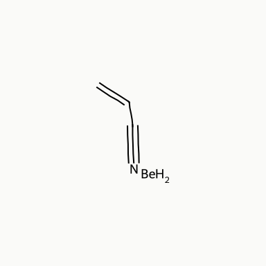 C=CC#N.[BeH2]